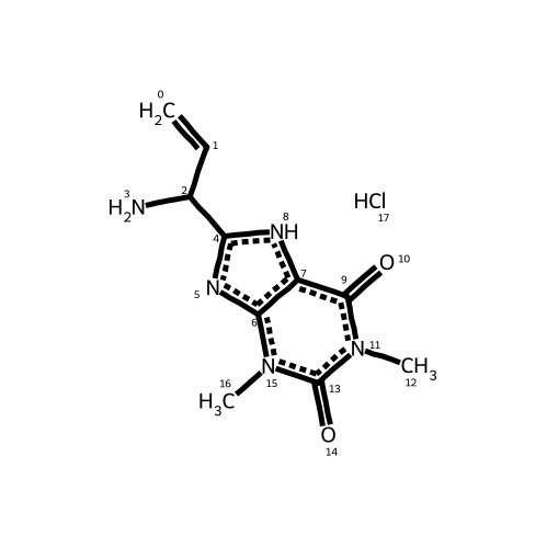 C=CC(N)c1nc2c([nH]1)c(=O)n(C)c(=O)n2C.Cl